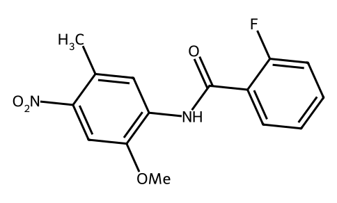 COc1cc([N+](=O)[O-])c(C)cc1NC(=O)c1ccccc1F